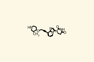 C[C@H]1CNCC[C@@H]1OCC#Cc1cccn2c(N3CCC(=O)NC3=O)cnc12